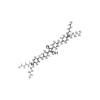 CCCCCCN(CCCCCC)c1ccc(/C=C/c2ccc(C3=C(O)C(C4C=CC(=CC=C5C=CC(=[N+](CCCCCC)CCCCCC)C=C5)C=C4)C3=O)cc2)cc1